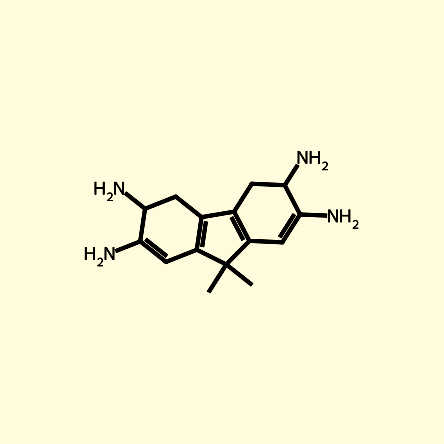 CC1(C)C2=C(CC(N)C(N)=C2)C2=C1C=C(N)C(N)C2